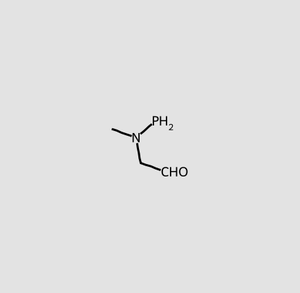 CN(P)CC=O